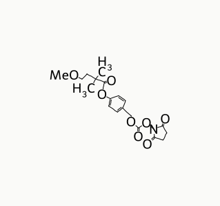 COCCC(C)(C)C(=O)Oc1ccc(COC(=O)ON2C(=O)CCC2=O)cc1